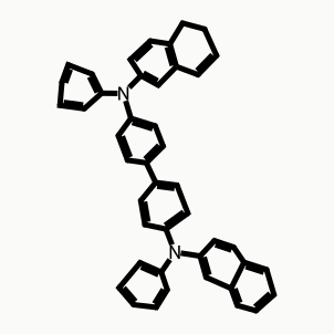 C1=Cc2cc(N(c3ccccc3)c3ccc(-c4ccc(N(c5ccccc5)c5ccc6ccccc6c5)cc4)cc3)ccc2CC1